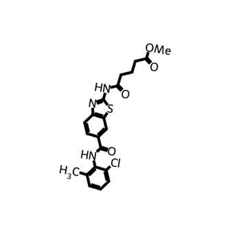 COC(=O)CCCC(=O)Nc1nc2ccc(C(=O)Nc3c(C)cccc3Cl)cc2s1